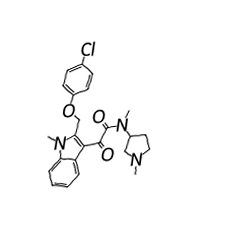 CN1CCC(N(C)C(=O)C(=O)c2c(COc3ccc(Cl)cc3)n(C)c3ccccc23)C1